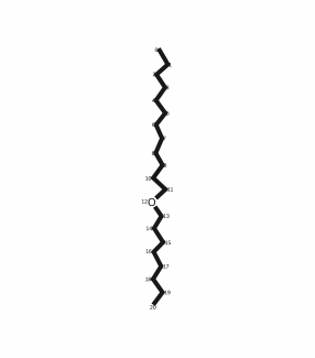 [CH2]CCCCCCCCCCCOCCCCCCCC